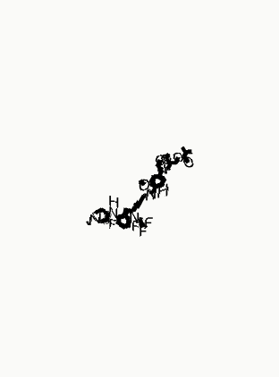 COc1cc(N(C=O)CC(COC(=O)C(C)C)OC)ccc1NCC#Cc1cc2c(N[C@@H]3CCN(C)C[C@@H]3F)cccc2n1CC(F)(F)F